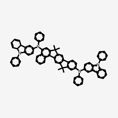 CC1(C)c2cc(N(c3ccccc3)c3ccc4c(c3)c3ccccc3n4-c3ccccc3)ccc2-c2cc3c(cc21)-c1c(cc(N(c2ccccc2)c2ccc4c(c2)C2C=CC=CC2N4c2ccccc2)c2ccccc12)C3(C)C